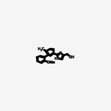 COc1ccccc1-c1cc(-c2nc(CO)c[nH]2)ccc1C